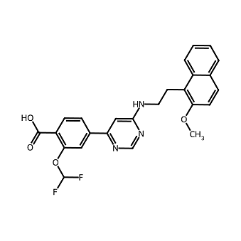 COc1ccc2ccccc2c1CCNc1cc(-c2ccc(C(=O)O)c(OC(F)F)c2)ncn1